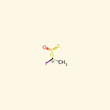 C[C@H](I)[SH](=O)=S